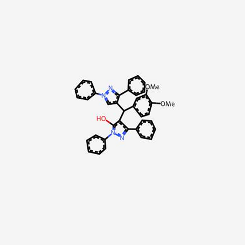 COc1ccc(C(c2cn(-c3ccccc3)nc2-c2ccccc2)c2c(-c3ccccc3)nn(-c3ccccc3)c2O)cc1OC